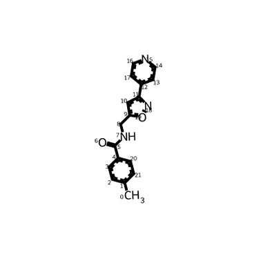 Cc1ccc(C(=O)NCc2cc(-c3ccncc3)no2)cc1